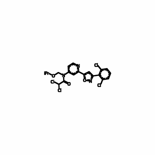 CC(C)OCN(C(=O)C(Cl)Cl)c1ccnc(-c2cc(-c3c(Cl)cccc3Cl)no2)c1